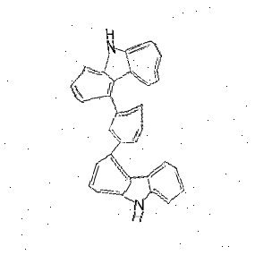 c1cc(-c2cccc3[nH]c4ccccc4c23)cc(-c2cccc3[nH]c4ccccc4c23)c1